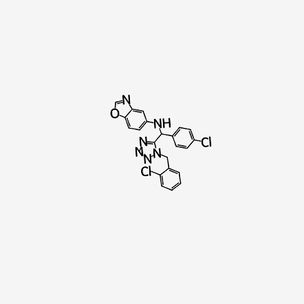 Clc1ccc(C(Nc2ccc3ocnc3c2)c2nnnn2Cc2ccccc2Cl)cc1